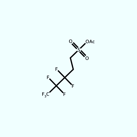 CC(=O)OS(=O)(=O)CCC(F)(F)C(F)(F)C(F)(F)F